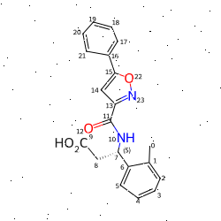 Cc1ccccc1[C@H](CC(=O)O)NC(=O)c1cc(-c2ccccc2)on1